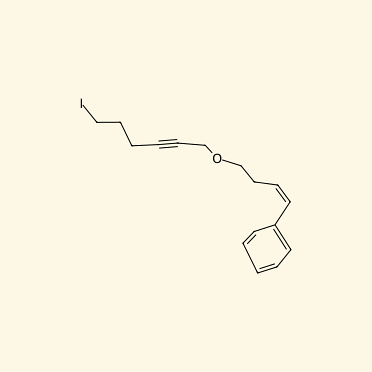 ICCCC#CCOCC/C=C\c1ccccc1